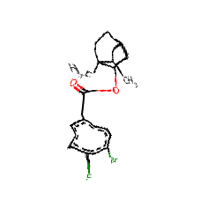 CC1C2CCC1(C)C(OC(=O)c1ccc(F)c(Br)c1)C2